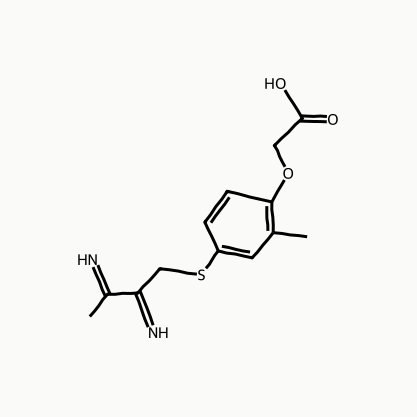 CC(=N)C(=N)CSc1ccc(OCC(=O)O)c(C)c1